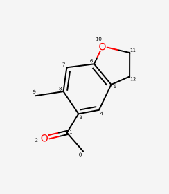 CC(=O)c1cc2c(cc1C)OCC2